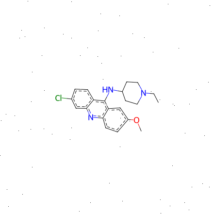 CCN1CCC(Nc2c3ccc(Cl)cc3nc3ccc(OC)cc23)CC1